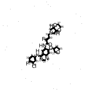 O=C(Nc1cc2c(Nc3ccc(F)c(Cl)c3)ncnc2cc1OC1CCOC1)C(F)=CCN1C[C@@H]2OCCO[C@@H]2C1